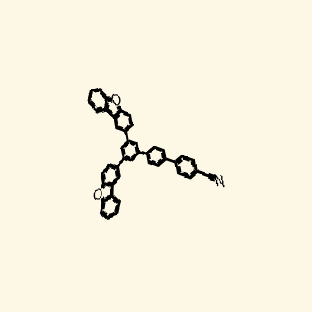 N#Cc1ccc(-c2ccc(-c3cc(-c4ccc5oc6ccccc6c5c4)cc(-c4ccc5oc6ccccc6c5c4)c3)cc2)cc1